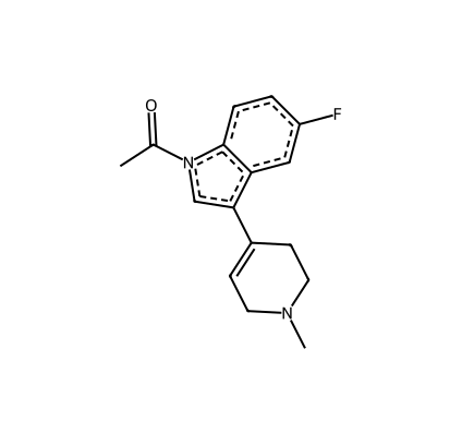 CC(=O)n1cc(C2=CCN(C)CC2)c2cc(F)ccc21